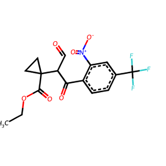 CCOC(=O)C1(C(C=O)C(=O)c2ccc(C(F)(F)F)cc2[N+](=O)[O-])CC1